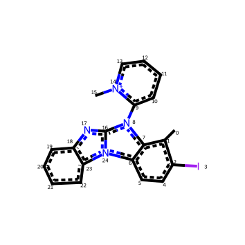 Cc1c(I)ccc2c1n(-c1cccc[n+]1C)c1nc3ccccc3n21